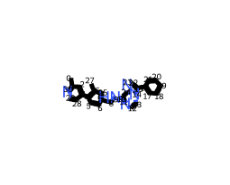 Cc1cc(-c2ccc(CNc3nccn4c(-c5ccccc5)cnc34)cc2C)ccn1